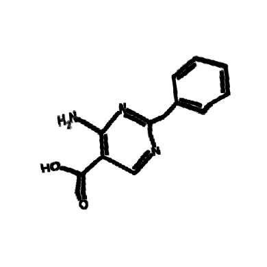 Nc1nc(-c2ccccc2)ncc1C(=O)O